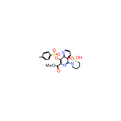 COC(=O)c1nc(N2CCCCS2(O)O)c2cccnc2c1OS(=O)(=O)c1ccc(C)cc1